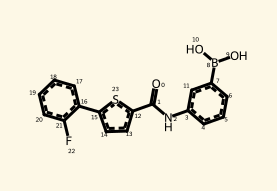 O=C(Nc1cccc(B(O)O)c1)c1ccc(-c2ccccc2F)s1